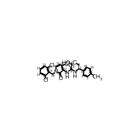 Cc1ccc([C@H](CC(=O)O)NC(=O)Nc2c(C)ccn(Cc3c(Cl)cccc3Cl)c2=O)cc1